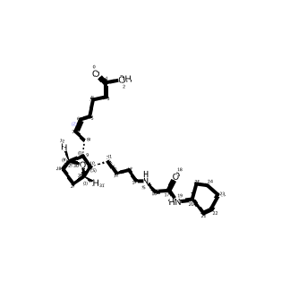 O=C(O)CCC/C=C\C[C@@H]1[C@H](CCCCNCC(=O)NC2CCCCC2)[C@@H]2CC[C@H]1O2